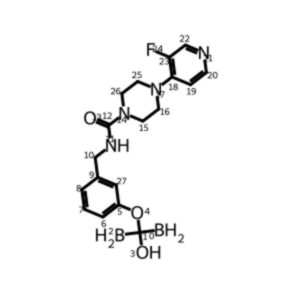 BC(B)(O)Oc1cccc(CNC(=O)N2CCN(c3ccncc3F)CC2)c1